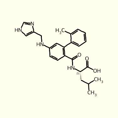 Cc1ccccc1-c1cc(NCc2c[nH]cn2)ccc1C(=O)N[C@@H](CC(C)C)C(=O)O